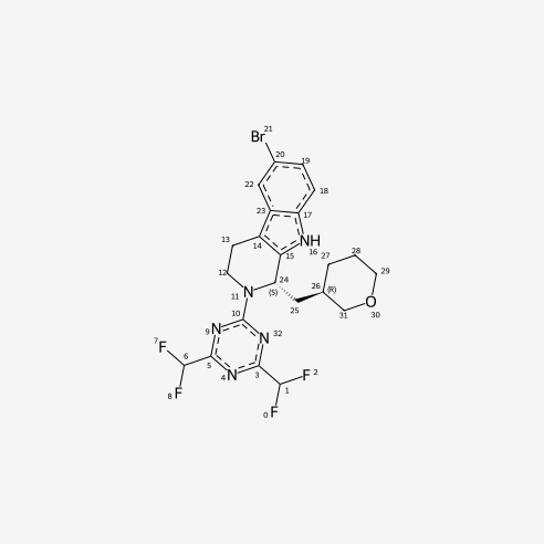 FC(F)c1nc(C(F)F)nc(N2CCc3c([nH]c4ccc(Br)cc34)[C@@H]2C[C@H]2CCCOC2)n1